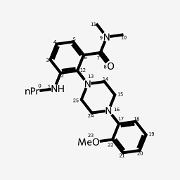 CCCNc1cccc(C(=O)N(C)C)c1N1CCN(c2ccccc2OC)CC1